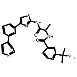 CC(NC(=O)c1cccc(C(C)(C)N)c1)C(=O)Nc1nc(-c2cccc(-c3ccncc3)c2)cs1